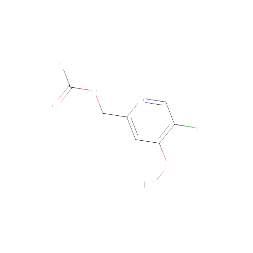 COc1cc(COC(C)=O)ncc1Br